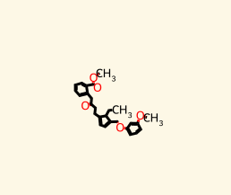 CCC1C(CCC(=O)Cc2ccccc2C(=O)OC)=CC=C1COc1cccc(OC)c1